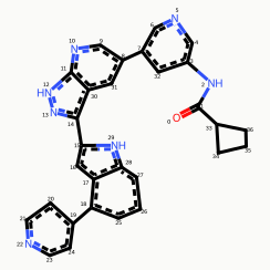 O=C(Nc1cncc(-c2cnc3[nH]nc(-c4cc5c(-c6ccncc6)cccc5[nH]4)c3c2)c1)C1CCC1